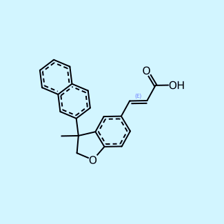 CC1(c2ccc3ccccc3c2)COc2ccc(/C=C/C(=O)O)cc21